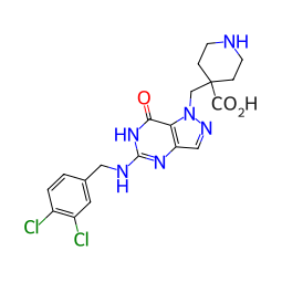 O=C(O)C1(Cn2ncc3nc(NCc4ccc(Cl)c(Cl)c4)[nH]c(=O)c32)CCNCC1